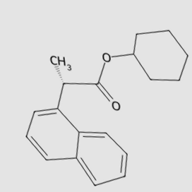 C[C@H](C(=O)OC1CCCCC1)c1cccc2ccccc12